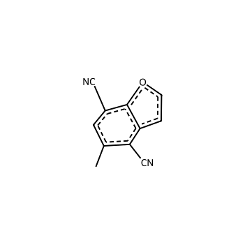 Cc1cc(C#N)c2occc2c1C#N